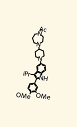 COc1ccc(-c2[nH]c3ccc(N4CCC(N5CCCN(C(C)=O)CC5)CC4)cc3c2C(C)C)cc1OC